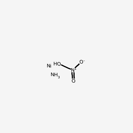 N.O=[N+]([O-])O.[Ni]